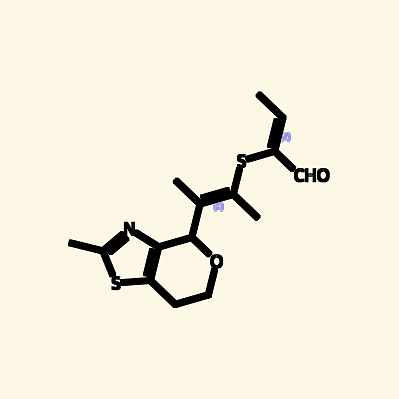 C/C=C(/C=O)S/C(C)=C(\C)C1OCCc2sc(C)nc21